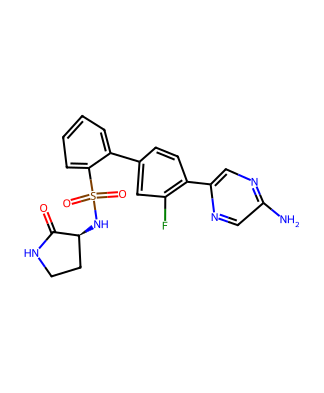 Nc1cnc(-c2ccc(-c3ccccc3S(=O)(=O)N[C@H]3CCNC3=O)cc2F)cn1